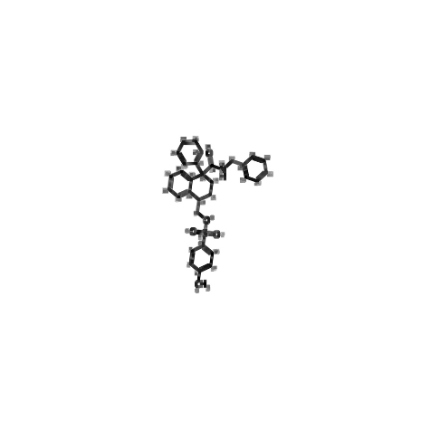 Cc1ccc(S(=O)(=O)OCC2CCC(C(=O)NCc3ccccc3)(c3ccccc3)c3ccccc32)cc1